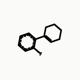 Fc1ccccc1C1=CCCCC1